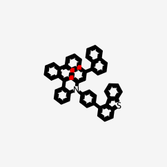 c1cc(-c2cccc3ccccc23)cc(N(c2ccc(-c3cccc4sc5ccccc5c34)cc2)c2ccccc2-c2cc3ccccc3c3ccccc23)c1